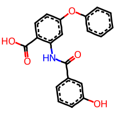 O=C(Nc1cc(Oc2ccccc2)ccc1C(=O)O)c1cccc(O)c1